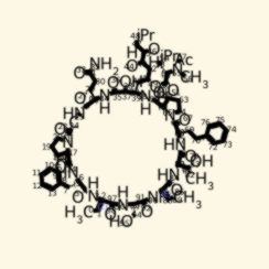 C/C=C1\NC(=O)[C@H](Cc2ccccc2)NC(=O)[C@@H]2CCCN2C(=O)CNC(=O)[C@@H](CCC(N)=O)NC(=O)C(O)[C@@H](CC(CC(O)C(O)CC(C)C)OC(=O)[C@H](CC(C)C)N(C)C(C)=O)NC(=O)[C@@H]2CCCN2C(=O)[C@@H](CCc2ccccc2)NC(=O)[C@H]([C@@H](C)O)NC(=O)/C(=C\C)NC(=O)[C@H](CO)NC1=O